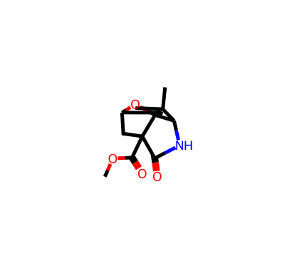 COC(=O)C12Cc3oc1c(c3C)NC2=O